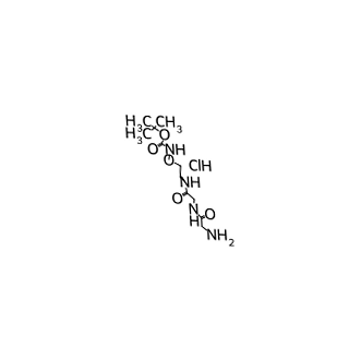 CC(C)(C)OC(=O)NOCCNC(=O)CNC(=O)CN.Cl